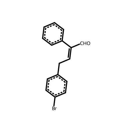 O=CC(=CCc1ccc(Br)cc1)c1ccccc1